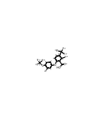 O=C(O)c1c(Oc2ccc(OC(F)(F)F)c(F)c2)ccc(C(F)(F)F)c1F